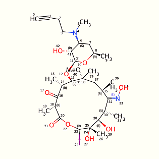 C#CCCN(C)[C@H]1C[C@@H](C)O[C@@H](O[C@@H]2[C@@H](C)C(=O)[C@@H](C)C(=O)O[C@H](I)[C@@](C)(O)[C@H](O)[C@@H](C)/C(=N/O)[C@H](C)C[C@@]2(C)OC)[C@@H]1O